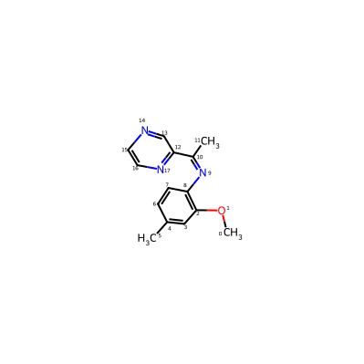 COc1cc(C)ccc1/N=C(/C)c1cnccn1